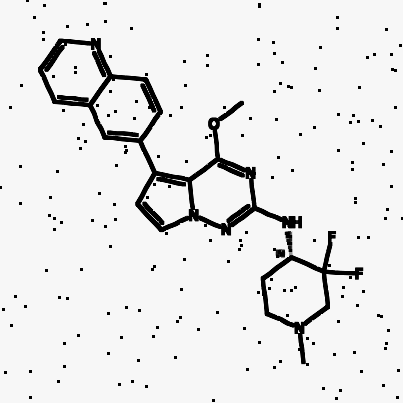 COc1nc(N[C@H]2CCN(C)CC2(F)F)nn2ccc(-c3ccc4ncccc4c3)c12